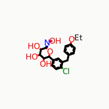 CCOc1ccc(Cc2cc(C3OC(=NO)C(O)C(O)C3O)ccc2Cl)cc1